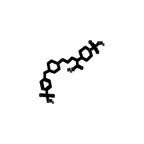 CS(=O)(=O)c1ccc(CC2CCN(CCCC(C(N)=O)C3CCN(S(C)(=O)=O)CC3)CC2)cc1